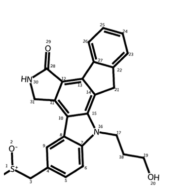 CC[S+]([O-])Cc1ccc2c(c1)c1c3c(c4c(c1n2CCCO)Cc1ccccc1-4)C(=O)NC3